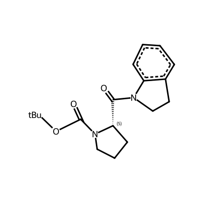 CC(C)(C)OC(=O)N1CCC[C@H]1C(=O)N1CCc2ccccc21